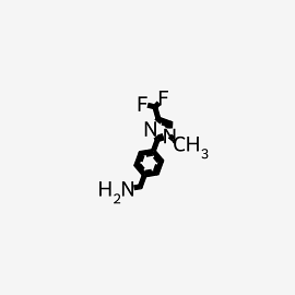 Cn1cc(C(F)F)nc1-c1ccc(CN)cc1